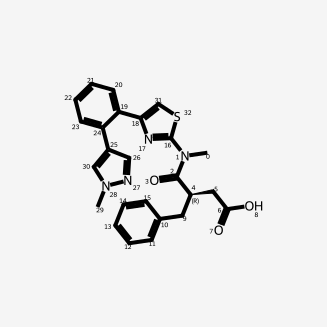 CN(C(=O)[C@@H](CC(=O)O)Cc1ccccc1)c1nc(-c2ccccc2-c2cnn(C)c2)cs1